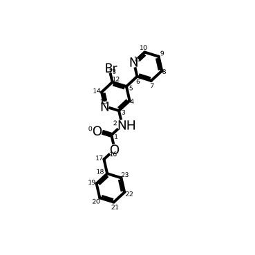 O=C(Nc1cc(-c2ccccn2)c(Br)cn1)OCc1ccccc1